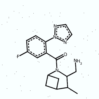 CC1C2CC(C2)N(C(=O)c2cc(F)ccc2-n2nccn2)C1CN